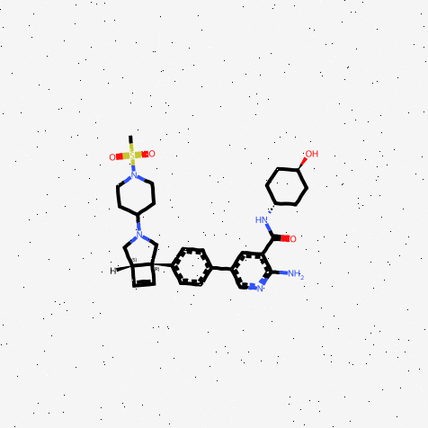 CS(=O)(=O)N1CCC(N2C[C@H]3C=C[C@@]3(c3ccc(-c4cnc(N)c(C(=O)N[C@H]5CC[C@H](O)CC5)c4)cc3)C2)CC1